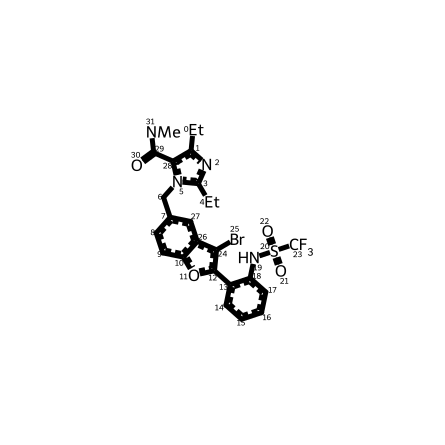 CCc1nc(CC)n(Cc2ccc3oc(-c4ccccc4NS(=O)(=O)C(F)(F)F)c(Br)c3c2)c1C(=O)NC